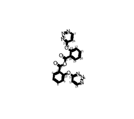 O=C(OC(=O)c1ccccc1Oc1ccnnn1)c1ccccc1Oc1ccnnn1